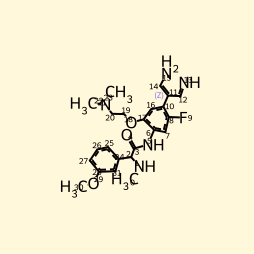 CNC(C(=O)Nc1cc(F)c(/C(C=N)=C/N)cc1OCCN(C)C)c1cccc(OC)c1